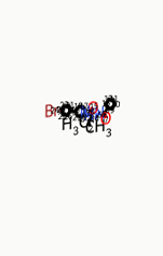 CC(C)[C@@H](CNC(=O)c1ccccc1)C(=O)N1CCC(c2ccc(Br)cc2)CC1